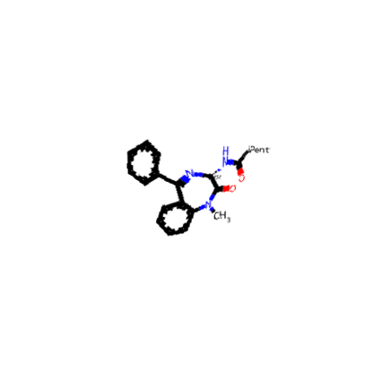 CCCC(C)C(=O)N[C@H]1N=C(c2ccccc2)c2ccccc2N(C)C1=O